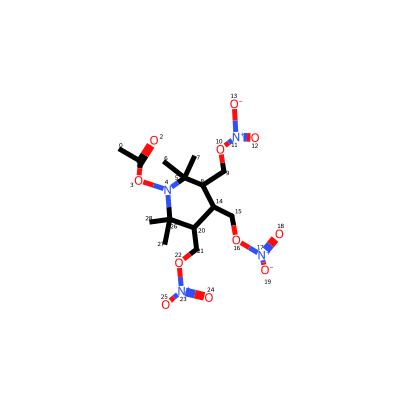 CC(=O)ON1C(C)(C)C(CO[N+](=O)[O-])C(CO[N+](=O)[O-])C(CO[N+](=O)[O-])C1(C)C